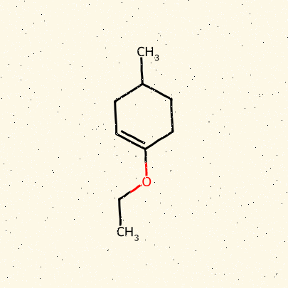 CCOC1=CCC(C)CC1